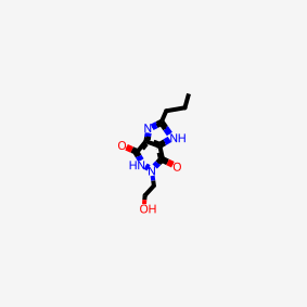 CCCc1nc2c(=O)[nH]n(CCO)c(=O)c2[nH]1